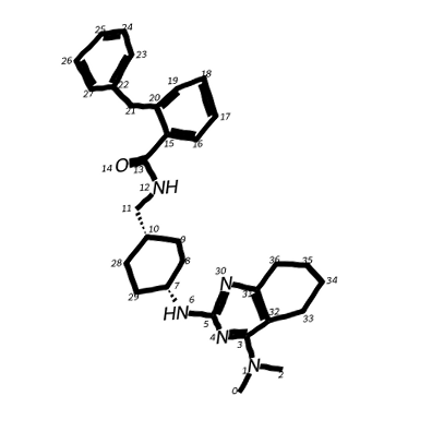 CN(C)c1nc(N[C@H]2CC[C@@H](CNC(=O)c3ccccc3Cc3ccccc3)CC2)nc2c1CCCC2